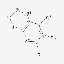 Fc1c(Cl)cc2c(c1Br)NCCC2